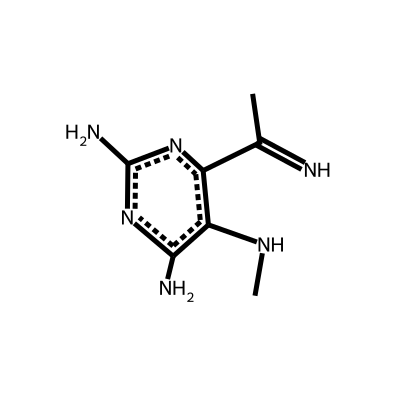 CNc1c(N)nc(N)nc1C(C)=N